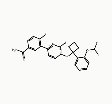 NC(=O)c1ccc(F)c(C(/C=C\C(I)NC2(c3ncccc3OC(F)F)CCC2)=N/NI)c1